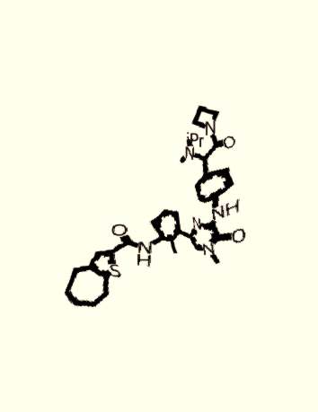 Cc1c(NC(=O)c2cc3c(s2)CCCCC3)cccc1-c1cn(C)c(=O)c(Nc2ccc(C(C(=O)N3CCC3)N(C)C(C)C)cc2)n1